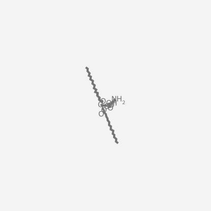 CCCCCCCCCCCCCC=CC=CC(=O)O[C@H](COC(=O)CCCCCCCCCCCCCCC)COP(=O)(O)OCCN